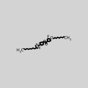 CCCCCCCCCOc1ccc(C(=O)Oc2ccc(-c3ncc(CCCCCCCCC)cn3)cc2)cc1F